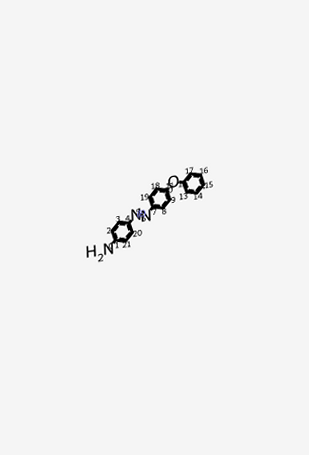 Nc1ccc(/N=N/c2ccc(Oc3cc[c]cc3)cc2)cc1